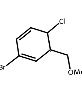 COC[C]1C=C(Br)C=CC1Cl